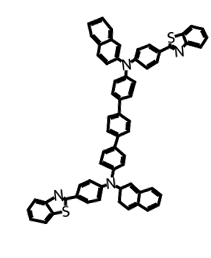 C1=c2ccccc2=CC(N(c2ccc(-c3ccc(-c4ccc(N(c5ccc(-c6nc7ccccc7s6)cc5)c5ccc6ccccc6c5)cc4)cc3)cc2)c2ccc(-c3nc4ccccc4s3)cc2)C1